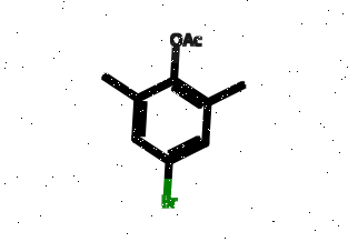 CC(=O)Oc1c(C)cc(Br)cc1C